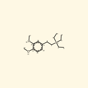 CC[Si](CC)(CC)CCc1ccc(OC)c(OC)c1